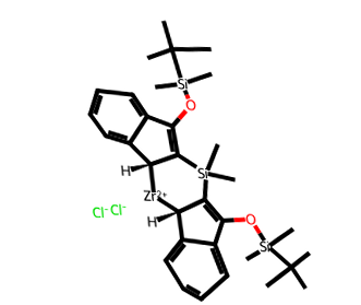 CC(C)(C)[Si](C)(C)OC1=C2[C@@H]([Zr+2][C@H]3C(=C(O[Si](C)(C)C(C)(C)C)c4ccccc43)[Si]2(C)C)c2ccccc21.[Cl-].[Cl-]